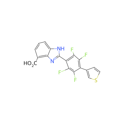 O=C(O)c1cccc2[nH]c(-c3c(F)c(F)c(-c4ccsc4)c(F)c3F)nc12